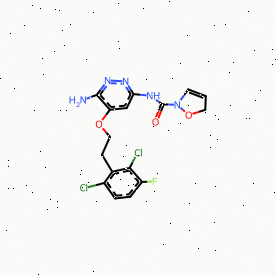 Nc1nnc(NC(=O)N2C=CCO2)cc1OCCc1c(Cl)ccc(F)c1Cl